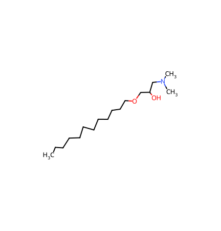 CCCCCCCCCCCCOCC(O)CN(C)C